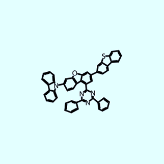 c1ccc(-c2nc(-c3ccccc3)nc(-c3cc(-c4ccc5c(c4)sc4ccccc45)cc4oc5cc(-n6c7ccccc7c7ccccc76)ccc5c34)n2)cc1